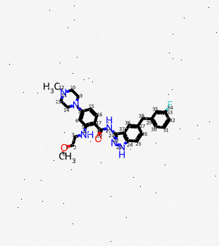 COCCNc1cc(N2CCN(C)CC2)ccc1C(=O)Nc1n[nH]c2ccc(Cc3cccc(F)c3)cc12